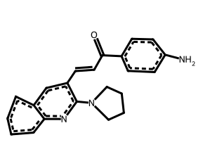 Nc1ccc(C(=O)C=Cc2cc3ccccc3nc2N2CCCC2)cc1